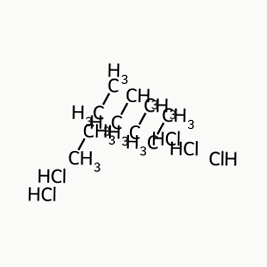 CC.CC.CC.CC.CC.Cl.Cl.Cl.Cl.Cl